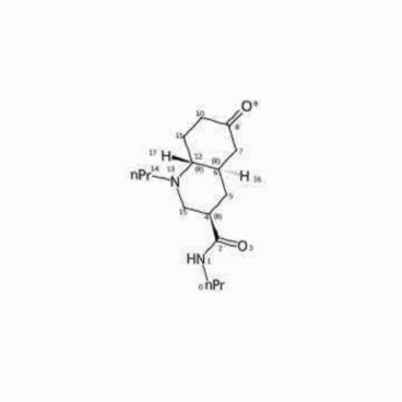 CCCNC(=O)[C@@H]1C[C@@H]2CC(=O)CC[C@H]2N(CCC)C1